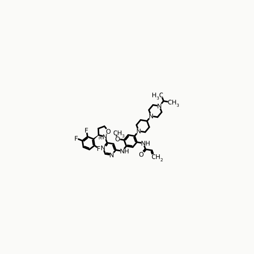 C=CC(=O)Nc1cc(Nc2cc(N3OCC[C@@H]3c3c(F)ccc(F)c3F)ncn2)c(OC)cc1N1CCC(N2CCN(C(C)C)CC2)CC1